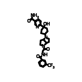 NC(=O)c1ccc(C2(O)CCC(N3CCC4C3CCN4C(=O)CNC(=O)c3cccc(C(F)(F)F)c3)CC2)nc1